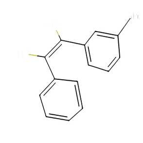 CC(C)c1cccc(/C(S)=C(/S)c2ccccc2)c1